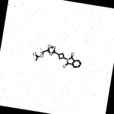 CC(=O)O[C@H](C)c1nc(C2CC(N3C(=O)c4ccccc4C3=O)C2)no1